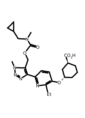 CCc1nc(-c2nnn(C)c2COC(=O)N(C)CC2CC2)ccc1O[C@H]1CCC[C@H](C(=O)O)C1